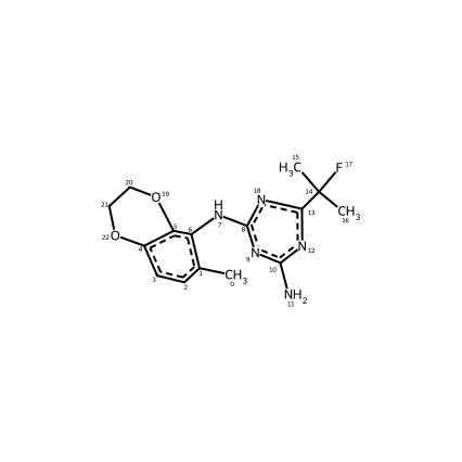 Cc1ccc2c(c1Nc1nc(N)nc(C(C)(C)F)n1)OCCO2